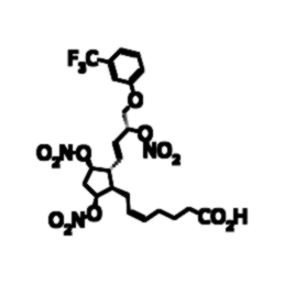 O=C(O)CCC/C=C\C[C@@H]1[C@@H](/C=C/[C@H](COc2cccc(C(F)(F)F)c2)O[N+](=O)[O-])[C@H](O[N+](=O)[O-])C[C@@H]1O[N+](=O)[O-]